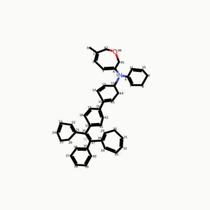 CC1=CC=C(N(C2=CCCC=C2)C2C=CC(c3ccc(/C(C4=CC=CCC4)=C(\C4=CCC=CC=C4)c4ccccc4)cc3)=CC2)COC1